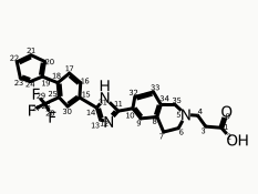 O=C(O)CCN1CCc2cc(-c3ncc(-c4ccc(-c5ccccc5)c(C(F)(F)F)c4)[nH]3)ccc2C1